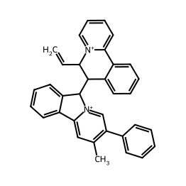 C=CC1C(C2c3ccccc3-c3cc(C)c(-c4ccccc4)c[n+]32)c2ccccc2-c2cccc[n+]21